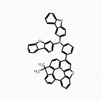 CC1(C)c2cccc3c2-c2c1ccc1c(-c4cccc(N(c5ccc6c(c5)oc5ccccc56)c5ccc6oc7ccccc7c6c5)c4)cc4sc5cccc-3c5c4c21